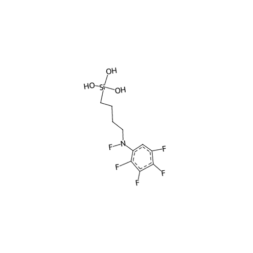 O[Si](O)(O)CCCCN(F)c1cc(F)c(F)c(F)c1F